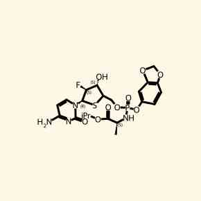 CC(C)OC(=O)[C@H](C)NP(=O)(OCC1S[C@@H](n2ccc(N)nc2=O)[C@@H](F)[C@@H]1O)Oc1ccc2c(c1)OCO2